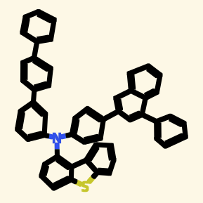 c1ccc(-c2ccc(-c3cccc(N(c4ccc(-c5cc(-c6ccccc6)c6ccccc6c5)cc4)c4cccc5sc6ccccc6c45)c3)cc2)cc1